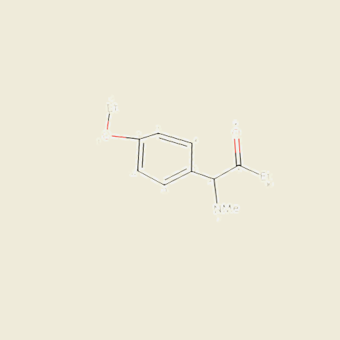 CCOc1ccc(C(NC)C(=O)CC)cc1